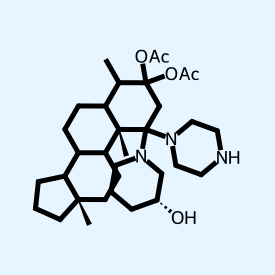 CC(=O)OC1(OC(C)=O)CC(N2CCNCC2)(N2CCC[C@@H](O)C2)[C@]2(C)C3CC[C@]4(C)CCCC4C3CCC2C1C